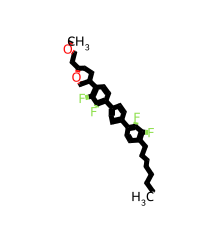 CCCCCCCCc1ccc(-c2ccc(-c3ccc(C4CCC(CCOC)OC4)c(F)c3F)cc2)c(F)c1F